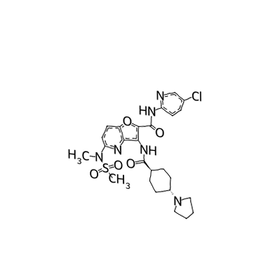 CN(c1ccc2oc(C(=O)Nc3ccc(Cl)cn3)c(NC(=O)[C@H]3CC[C@H](N4CCCC4)CC3)c2n1)S(C)(=O)=O